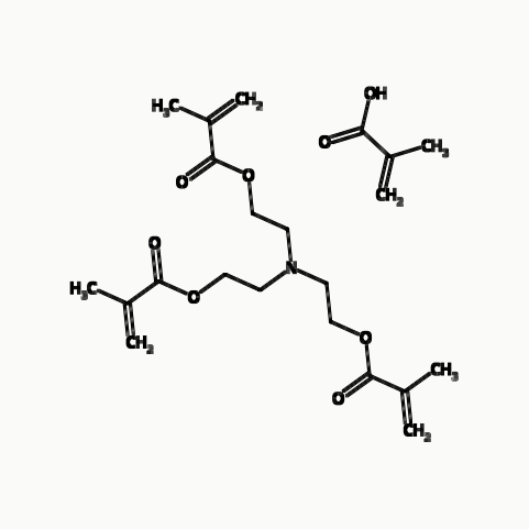 C=C(C)C(=O)O.C=C(C)C(=O)OCCN(CCOC(=O)C(=C)C)CCOC(=O)C(=C)C